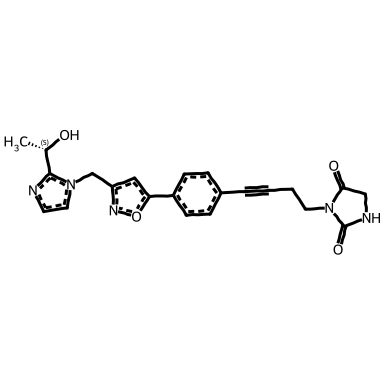 C[C@H](O)c1nccn1Cc1cc(-c2ccc(C#CCCN3C(=O)CNC3=O)cc2)on1